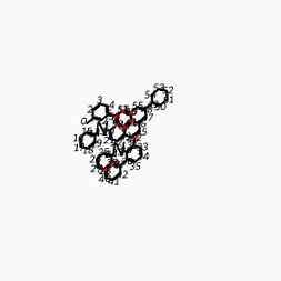 Cc1cccc(-c2ccccc2)c1N(c1ccccc1)c1cc(N(c2ccccc2)c2c(C)cccc2-c2ccccc2)c2ccc3cc(C4CCCCC4)cc4ccc1c2c43